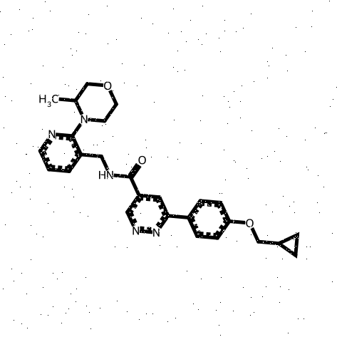 CC1COCCN1c1ncccc1CNC(=O)c1cnnc(-c2ccc(OCC3CC3)cc2)c1